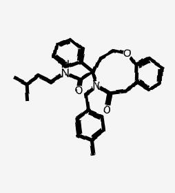 Cc1ccc(CN2C(=O)Cc3ccccc3OCCC2(C(=O)NCCC(C)C)c2ccccc2)cc1